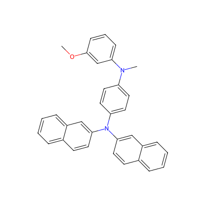 COc1cccc(N(C)c2ccc(N(c3ccc4ccccc4c3)c3ccc4ccccc4c3)cc2)c1